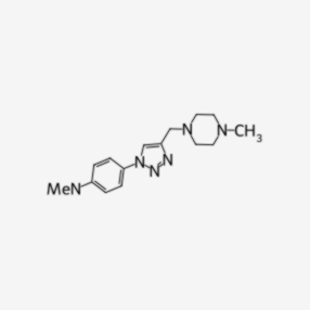 CNc1ccc(-n2cc(CN3CCN(C)CC3)nn2)cc1